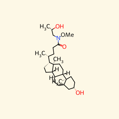 CON(C[C@H](C)O)C(=O)CC[C@@H](C)[C@H]1CC[C@H]2[C@@H]3CC=C4C[C@@H](O)CC[C@]4(C)[C@H]3CC[C@]12C